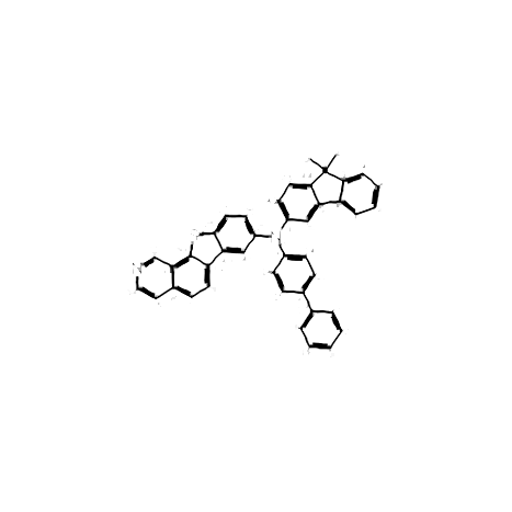 CC1(C)c2ccccc2-c2cc(N(c3ccc(-c4ccccc4)cc3)c3ccc4sc5c6cnccc6ccc5c4c3)ccc21